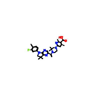 C=C(c1cnc2c(n1)C(C)(C)CN2c1ccc(C)c(F)c1)N1CCN(c2cc(C)c(C(=O)O)c(C)n2)CC1(C)C